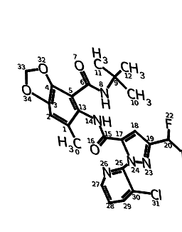 Cc1cc2c(c(C(=O)NC(C)(C)C)c1NC(=O)c1cc(C(F)F)nn1-c1ncccc1Cl)OCO2